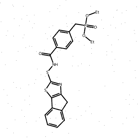 CCOP(=O)(Cc1ccc(C(=O)NSc2nc3c(s2)-c2ccccc2C3)cc1)OCC